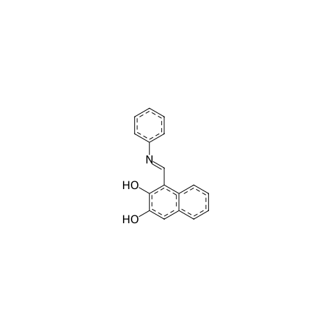 Oc1cc2ccccc2c(C=Nc2ccccc2)c1O